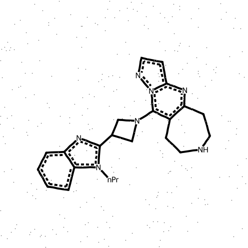 CCCn1c(C2CN(c3c4c(nc5ccnn35)CCNCC4)C2)nc2ccccc21